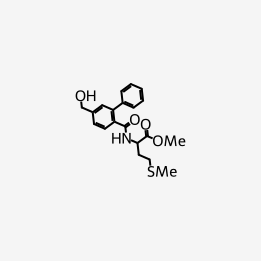 COC(=O)C(CCSC)NC(=O)c1ccc(CO)cc1-c1ccccc1